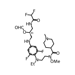 CCN(CCN(OC)C(=O)C1CCN(C)CC1)c1c(F)cc(NC[C@H](CNC(=O)C(F)F)OC=O)cc1F